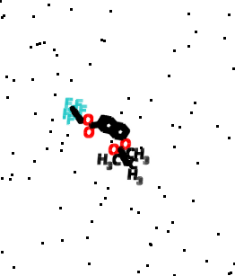 CCC(C)(C)C(=O)OC1CC2CC1C1C3CC(CC3C(=O)OCC(F)(F)C(F)(F)F)C21